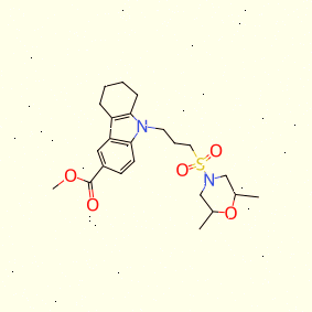 COC(=O)c1ccc2c(c1)c1c(n2CCCS(=O)(=O)N2CC(C)OC(C)C2)CCCC1